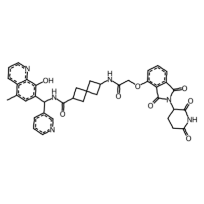 Cc1cc(C(NC(=O)C2CC3(CC(NC(=O)COc4cccc5c4C(=O)N(C4CCC(=O)NC4=O)C5=O)C3)C2)c2cccnc2)c(O)c2ncccc12